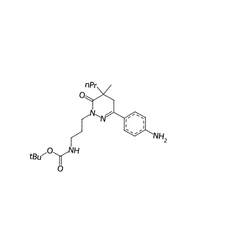 CCCC1(C)CC(c2ccc(N)cc2)=NN(CCCNC(=O)OC(C)(C)C)C1=O